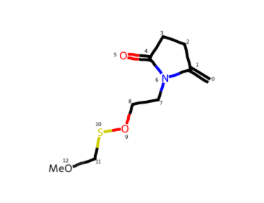 C=C1CCC(=O)N1CCOSCOC